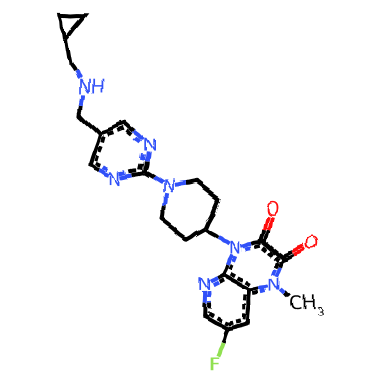 Cn1c(=O)c(=O)n(C2CCN(c3ncc(CNCC4CC4)cn3)CC2)c2ncc(F)cc21